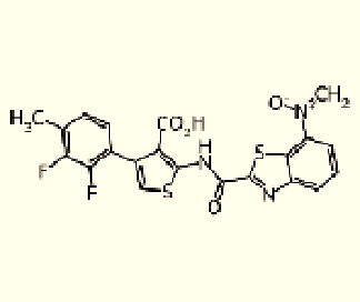 C=[N+]([O-])c1cccc2nc(C(=O)Nc3scc(-c4ccc(C)c(F)c4F)c3C(=O)O)sc12